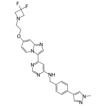 Cn1cc(-c2ccc(CNc3cc(-c4cnc5cc(OCCN6CC(F)(F)C6)ccn45)ncn3)cc2)cn1